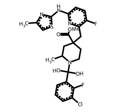 COC(=O)C1(Cc2nc(Nc3nc(C)cs3)ccc2F)CCN(C(O)(O)c2cccc(Cl)c2F)C(C)C1